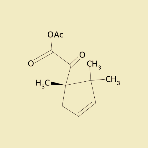 CC(=O)OC(=O)C(=O)[C@@]1(C)CC=CC1(C)C